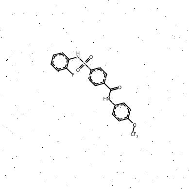 O=C(Nc1ccc(OC(F)(F)F)cc1)c1ccc(S(=O)(=O)Nc2ccccc2F)cc1